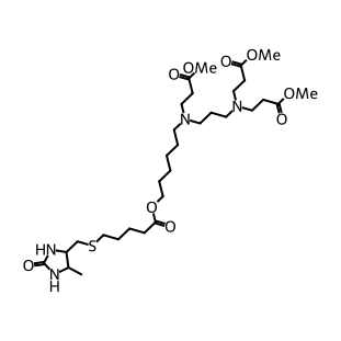 COC(=O)CCN(CCCCCCOC(=O)CCCCSCC1NC(=O)NC1C)CCCN(CCC(=O)OC)CCC(=O)OC